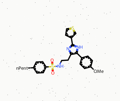 CCCCCc1ccc(S(=O)(=O)NCCc2nc(-c3ccsc3)[nH]c2-c2ccc(OC)cc2)cc1